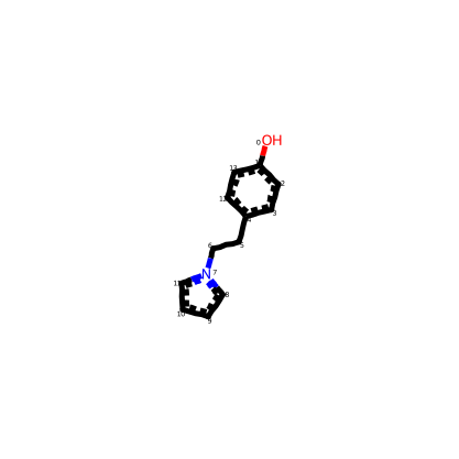 Oc1ccc(CCn2cccc2)cc1